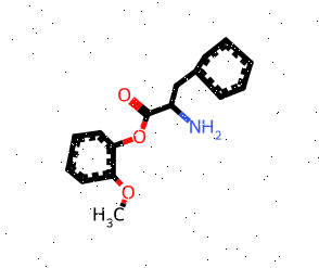 COc1ccccc1OC(=O)C(N)Cc1ccccc1